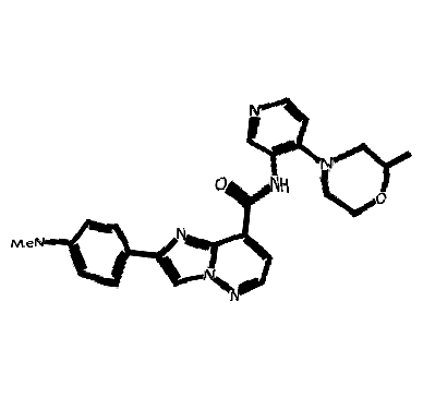 CNc1ccc(-c2cn3nccc(C(=O)Nc4cnccc4N4CCOC(C)C4)c3n2)cc1